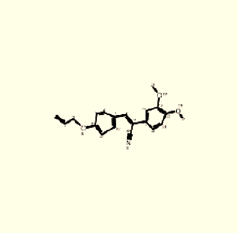 C=CCOc1ccc(C=C(C#N)c2ccc(OC)c(OC)c2)cc1